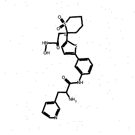 NC(Cc1cccnc1)C(=O)Nc1cccc(-c2ccc([C@@]3(CC(=O)NO)CCCCS3(=O)=O)s2)c1